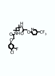 CC1(NC(=O)COc2ccc(Cl)c(F)c2)CC(C)(NC(=O)COc2ccc(C(F)(F)F)cn2)C1